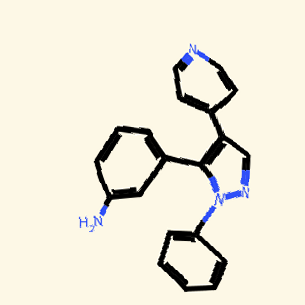 Nc1cccc(-c2c(-c3ccncc3)cnn2-c2ccccc2)c1